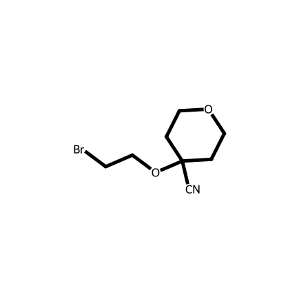 N#CC1(OCCBr)CCOCC1